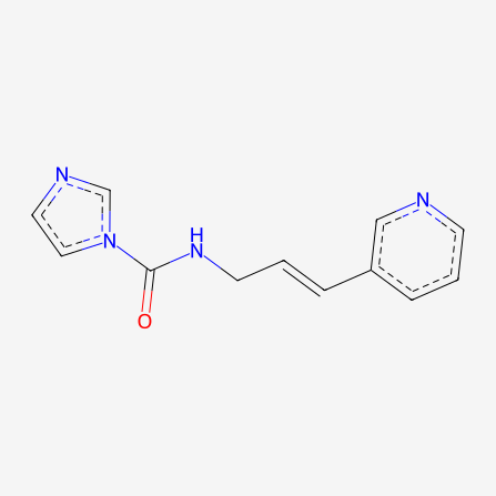 O=C(NCC=Cc1cccnc1)n1ccnc1